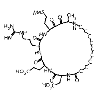 CSCCC1NC(=O)[C@H](CCCNC(=N)N)NC(=O)C(CCC(=O)O)NC(=O)[C@H](CC(=O)O)NC(=O)CCCCCCCCCNC(C)C(=O)C1=O